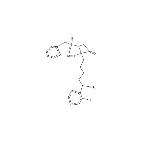 CC(=O)N[N+]1(CCCCC(C)c2ccccc2Cl)C(=O)CC1S(=O)(=O)Cc1ccccc1